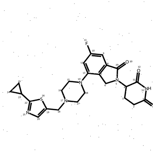 O=C1CCC(N2Cc3c(cc(F)cc3N3CCN(Cc4cnc(C5CC5)s4)CC3)C2=O)C(=O)N1